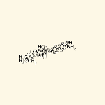 CC(C)(C)C1CCC(OC(=O)C[C@@H]2C[C@@H](COc3ccc(-c4ccc(C(=N)N)cc4)cc3)NC2=O)CC1.Cl